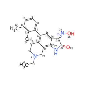 CCN1CCc2c(-c3cccc(C)c3C)cc3c(c2C1)NC(=O)/C3=N\O